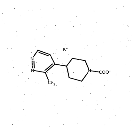 O=C([O-])N1CCC(c2ccnnc2C(F)(F)F)CC1.[K+]